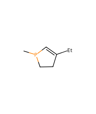 CCC1=CP(C)CC1